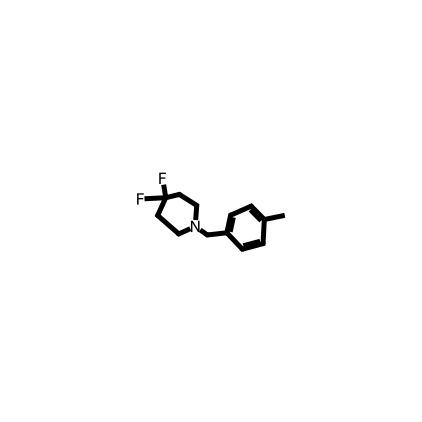 Cc1ccc(CN2CCC(F)(F)CC2)cc1